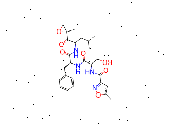 Cc1cc(C(=O)NC(CO)C(=O)N[C@@H](Cc2ccccc2)C(=O)NC(CC(C)C)C(=O)C2(C)CO2)no1